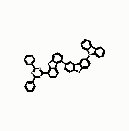 c1ccc(-c2nc(-c3ccccc3)nc(-c3cccc4c3sc3cccc(-c5ccc6oc7ccc(-n8c9ccccc9c9ccccc98)cc7c6c5)c34)n2)cc1